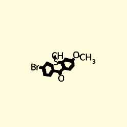 COc1ccc(C(=O)c2ccc(Br)cc2)c(SC)c1